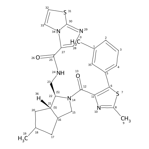 Cc1cccc(-c2sc(C)nc2C(=O)N2CC3CC(C)C[C@@H]3[C@H]2CNC(=O)c2cnc3sccn23)c1